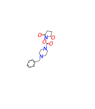 O=C(ON1C(=O)CCC1=O)N1CCN(Cc2ccccc2)CC1